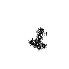 O=C(Nc1nccs1)c1ccc(CNC2=C(Cl)C(Oc3ccccc3)c3ccccc3C2Oc2ccccc2)cc1